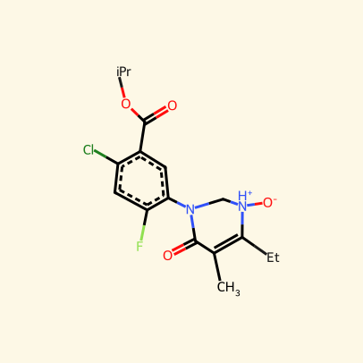 CCC1=C(C)C(=O)N(c2cc(C(=O)OC(C)C)c(Cl)cc2F)C[NH+]1[O-]